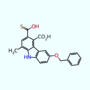 Cc1cc(C(O)=S)c(C(=O)O)c2c1[nH]c1ccc(OCc3ccccc3)cc12